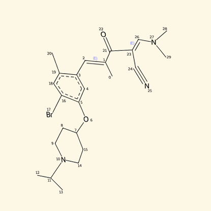 C/C(=C\c1cc(OC2CCN(C(C)C)CC2)c(Br)cc1C)C(=O)/C(C#N)=C/N(C)C